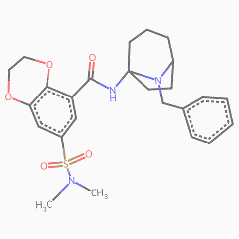 CN(C)S(=O)(=O)c1cc2c(c(C(=O)NC34CCCC(CC3)N4Cc3ccccc3)c1)OCCO2